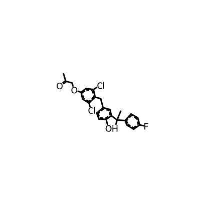 CC(=O)COc1cc(Cl)c(Cc2ccc(O)c(C(C)(C)c3ccc(F)cc3)c2)c(Cl)c1